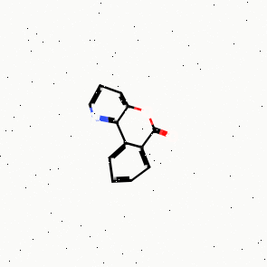 O=c1oc2cccnc2c2ccccc12